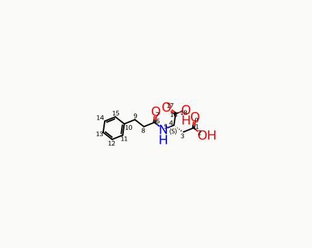 O=C(O)C[C@H](NC(=O)CCc1ccccc1)C(=O)O